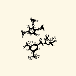 CC1(C)CC(OC(=O)c2cc(C(=O)O)cc(C(=O)O)c2)CC(C)(C)N1.O=C1C=C(N2CC2)C(=O)C(N2CC2)=C1N1CC1